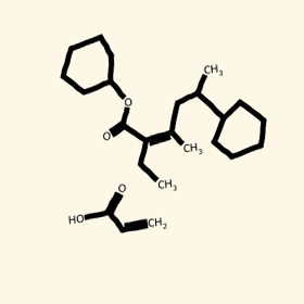 C=CC(=O)O.CCC(C(=O)OC1CCCCC1)=C(C)CC(C)C1CCCCC1